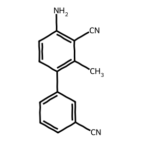 Cc1c(-c2cccc(C#N)c2)ccc(N)c1C#N